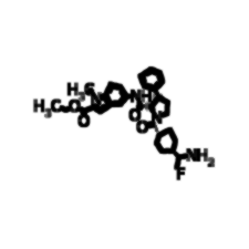 CCOC(=O)c1cc2cc(NC(=O)[C@@H]3[C@@H](c4ccccc4)CCN3C(=O)[C@H]3CC[C@H](C(N)CF)CC3)ccc2n1C